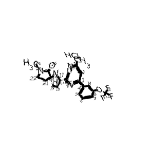 Cc1cc(-c2cccc(OC(F)(F)F)c2)nc([C@@H]2CC[C@@]3(CCN(C)C3=O)N2)n1.Cl